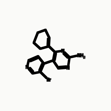 Nc1ncc(-c2ccncc2Br)c(C2=CCCCC2)n1